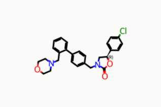 O=C1O[C@H](c2ccc(Cl)cc2)CN1Cc1ccc(-c2ccccc2CN2CCOCC2)cc1